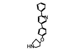 c1ccc(-c2ccc(-c3ccc(OC4CCNCC4)cc3)cn2)cc1